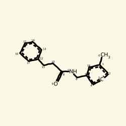 Cc1cccc(CNC(=O)CCc2ccccc2)c1